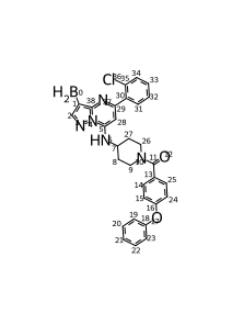 Bc1cnn2c(NC3CCN(C(=O)c4ccc(Oc5ccccc5)cc4)CC3)cc(-c3ccccc3Cl)nc12